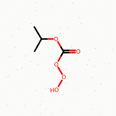 CC(C)OC(=O)OOO